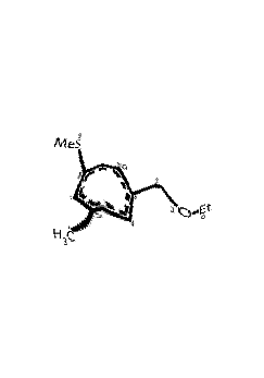 CCOCc1cc(C)cc(SC)c1